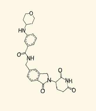 O=C1CCC(N2Cc3cc(CNC(=O)c4cccc(NC5CCOCC5)c4)ccc3C2=O)C(=O)N1